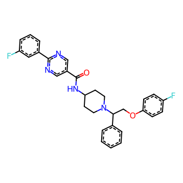 O=C(NC1CCN(C(COc2ccc(F)cc2)c2ccccc2)CC1)c1cnc(-c2cccc(F)c2)nc1